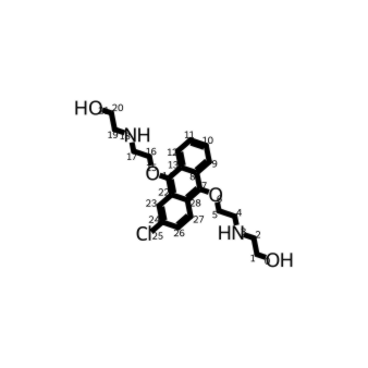 OCCNCCOc1c2ccccc2c(OCCNCCO)c2cc(Cl)ccc12